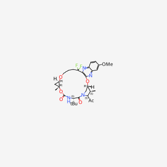 COc1ccc2nc3c(nc2c1)O[C@H]1CN(C(=O)[C@H](C(C)(C)C)NC(=O)O[C@]2(C)C[C@H]2OCCCC3(F)F)[C@H](C(C)=O)[C@@H]1C